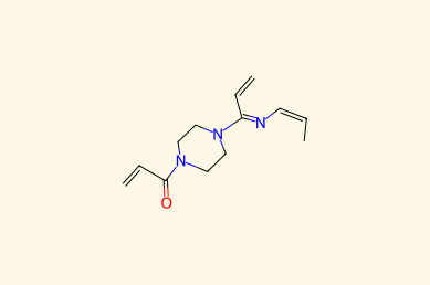 C=CC(=O)N1CCN(/C(C=C)=N/C=C\C)CC1